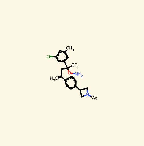 C=C(CC(ON)(c1cc(C)cc(Cl)c1)C(F)(F)F)c1ccc(C2CN(C(C)=O)C2)cc1